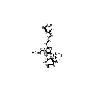 CC(C)c1nc(CCOCc2ccccc2)n(CCO)c1Sc1cc(Cl)cc(Cl)c1